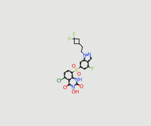 O=c1[nH]c2c(S(=O)(=O)c3cc(F)c4cnn(CCC5CC(F)(F)C5)c4c3)ccc(Cl)c2c(=O)n1O